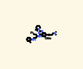 COc1cc2c(NC(CCNc3ccccc3C)CCC(C)C)nc(N3CCCCC3(C)C)nc2cc1C#CCCN(C)C